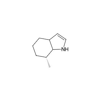 C[C@@H]1CCCC2C=CNC21